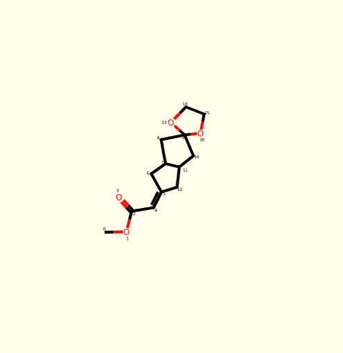 COC(=O)C=C1CC2CC3(CC2C1)OCCO3